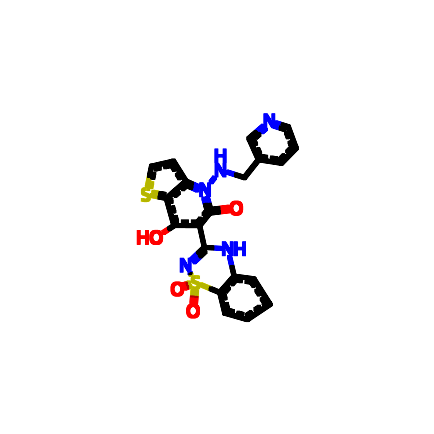 O=c1c(C2=NS(=O)(=O)c3ccccc3N2)c(O)c2sccc2n1NCc1cccnc1